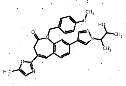 COc1ccc(CN2C(=O)CC(c3ncc(C)o3)=Cc3ccc(-c4cnn(C(C)C(C)O)c4)cc32)cc1